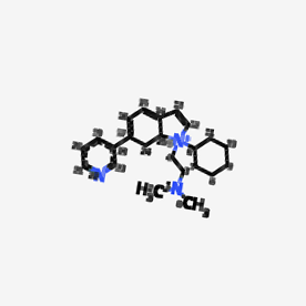 CN(C)CC[N+]1(C2CCCCC2)C=CC2=CC=C(c3cccnc3)CC21